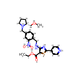 CCOC(=O)c1sc(-c2ccncc2)nc1NCc1ccc(CN2CCC[C@@H]2COC)cc1[N+](=O)[O-]